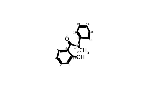 CN(C(=O)c1ccccc1O)c1ccccc1